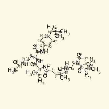 CC(C)C(NC(=O)CCC(C)(C)CPCCN1C(=O)CC(C(C)(C)C)C1=O)C(=O)N[C@@H](CCCNC(N)=O)C(=O)Nc1ccc(CC(C)(C)C)cc1